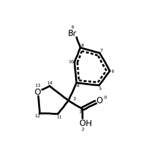 O=C(O)C1(c2cccc(Br)c2)CCOC1